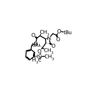 C[C@H](C(=O)OCc1ccccc1)[C@@H]1[C@@H]([C@@](C)(O[SiH](C)C)C(C)(C)C)C(=O)N1CC(=O)OC(C)(C)C